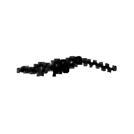 CCCCCCCCCCCCOc1ccc(C(=O)Oc2ccc(CC[C@H]3CC[C@H](CCCCC)CC3)c(F)c2F)cc1